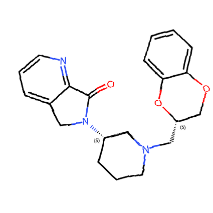 O=C1c2ncccc2CN1[C@H]1CCCN(C[C@H]2COc3ccccc3O2)C1